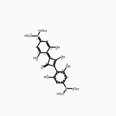 CCCCCCCCN(CCCCCCCC)c1cc(O)c(C2=C(O)C(=C3C(O)=CC(=[N+](CCCCCCCC)CCCCCCCC)C=C3O)C2=O)c(O)c1